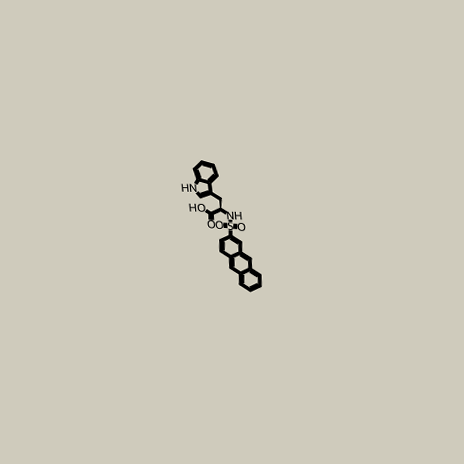 O=C(O)[C@@H](Cc1c[nH]c2ccccc12)NS(=O)(=O)c1ccc2cc3ccccc3cc2c1